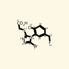 O=C(O)CSc1nnc(Br)n1-c1cc(CF)ccc1Cl